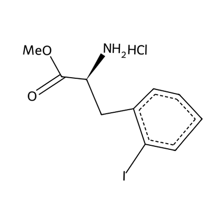 COC(=O)[C@@H](N)Cc1ccccc1I.Cl